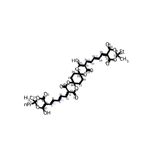 CCCC1(C)OC(=O)C(/C=C/C=C/C=C2C(=O)OC3(CCC4(CC3)OC(=O)C(/C=C/C=C/C=C3C(=O)OC(C)(CC)OC3=O)=C(O)O4)OC2=O)=C(O)O1